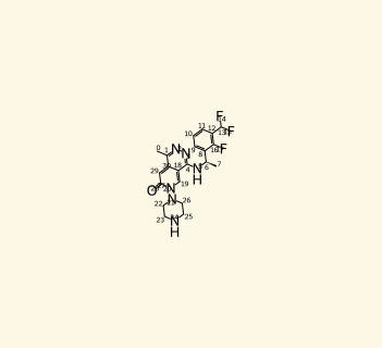 Cc1nnc(N[C@H](C)c2cccc(C(F)F)c2F)c2cn(N3CCNCC3)c(=O)cc12